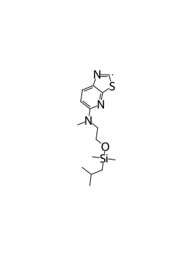 CC(C)C[Si](C)(C)OCCN(C)c1ccc2n[c]sc2n1